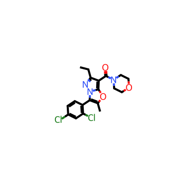 CCc1nn2c(-c3ccc(Cl)cc3Cl)c(C)oc2c1C(=O)N1CCOCC1